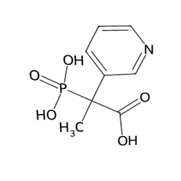 CC(C(=O)O)(c1cccnc1)P(=O)(O)O